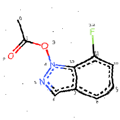 CC(=O)On1ncc2cccc(F)c21